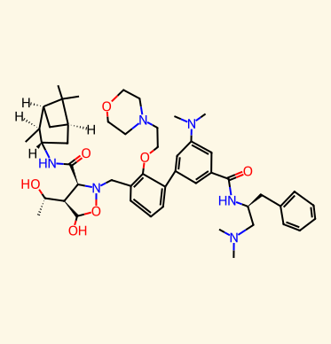 C[C@@H]1[C@@H](NC(=O)[C@@H]2[C@H]([C@H](C)O)C(O)ON2Cc2cccc(-c3cc(C(=O)N[C@@H](Cc4ccccc4)CN(C)C)cc(N(C)C)c3)c2OCCN2CCOCC2)C[C@H]2C[C@@H]1C2(C)C